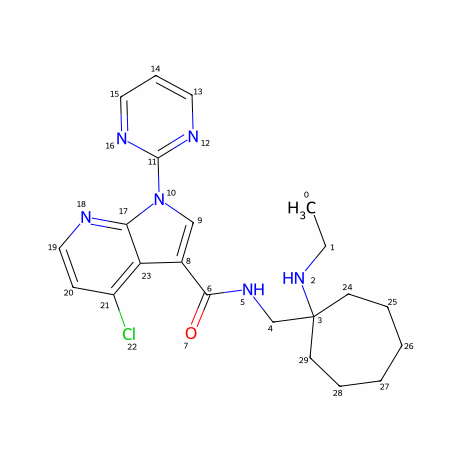 CCNC1(CNC(=O)c2cn(-c3ncccn3)c3nccc(Cl)c23)CCCCCC1